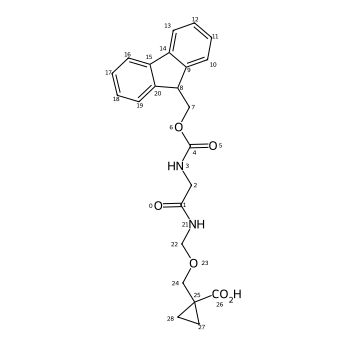 O=C(CNC(=O)OCC1c2ccccc2-c2ccccc21)NCOCC1(C(=O)O)CC1